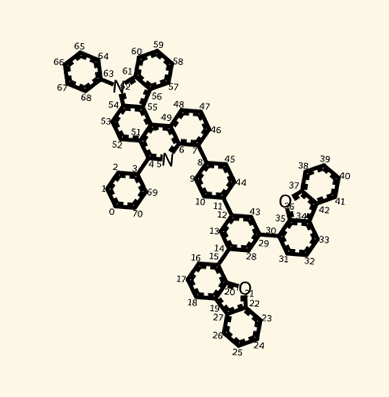 c1ccc(-c2nc3c(-c4ccc(-c5cc(-c6cccc7c6oc6ccccc67)cc(-c6cccc7c6oc6ccccc67)c5)cc4)cccc3c3c2ccc2c3c3ccccc3n2-c2ccccc2)cc1